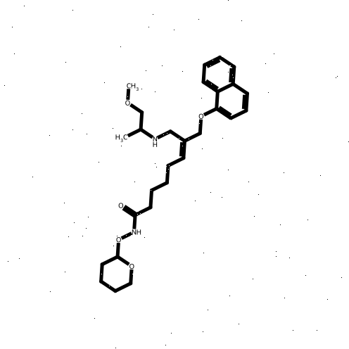 COCC(C)NC/C(=C\CCCCC(=O)NOC1CCCCO1)COc1cccc2ccccc12